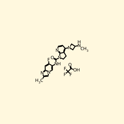 CNC1CN(c2ccnc3c2CCN3C(=O)Nc2cn3cc(C)nc3cc2F)C1.O=C(O)C(F)(F)F